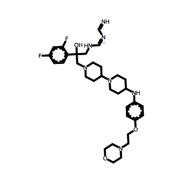 N=C/N=C\NCC(O)(CN1CCC(N2CCC(Nc3ccc(OCCN4CCOCC4)cc3)CC2)CC1)c1ccc(F)cc1F